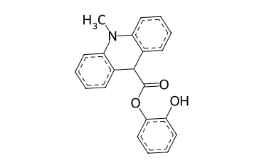 CN1c2ccccc2C(C(=O)Oc2ccccc2O)c2ccccc21